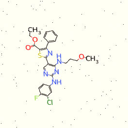 CCOC(=O)c1sc(-c2cnc(Nc3ccc(F)c(Cl)c3)nc2NCCCOC)nc1-c1ccccc1